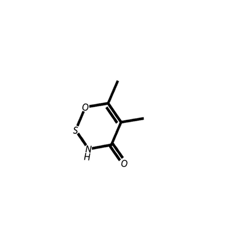 CC1=C(C)C(=O)NSO1